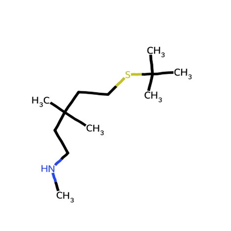 CNCCC(C)(C)CCSC(C)(C)C